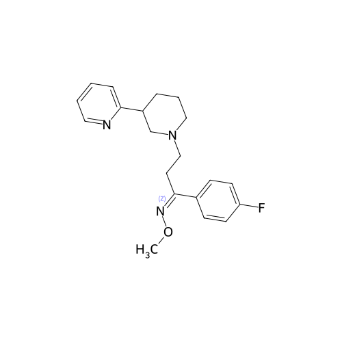 CO/N=C(/CCN1CCCC(c2ccccn2)C1)c1ccc(F)cc1